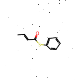 CC=CC(=O)Sc1c[c]ccc1